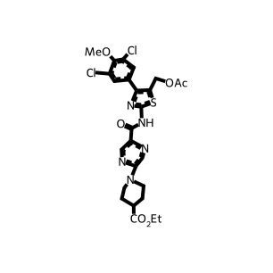 CCOC(=O)C1CCN(c2cnc(C(=O)Nc3nc(-c4cc(Cl)c(OC)c(Cl)c4)c(COC(C)=O)s3)cn2)CC1